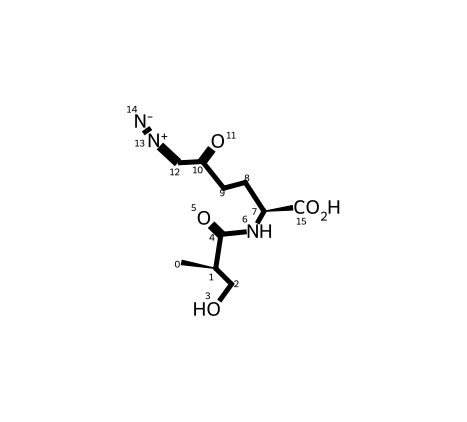 C[C@H](CO)C(=O)N[C@@H](CCC(=O)C=[N+]=[N-])C(=O)O